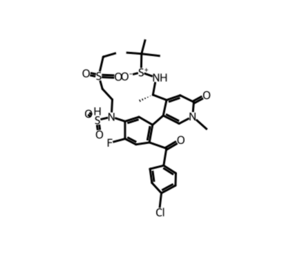 CCS(=O)(=O)CCN(c1cc(-c2cn(C)c(=O)cc2[C@H](C)N[S+]([O-])C(C)(C)C)c(C(=O)c2ccc(Cl)cc2)cc1F)[SH](=O)=O